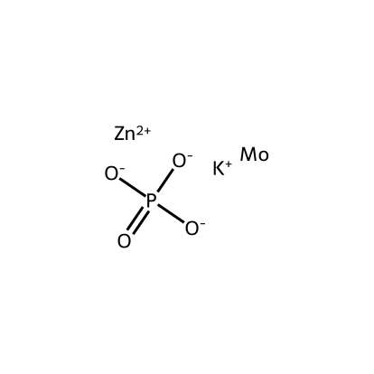 O=P([O-])([O-])[O-].[K+].[Mo].[Zn+2]